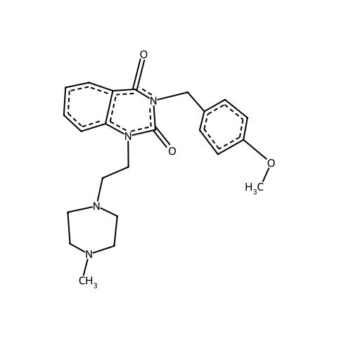 COc1ccc(Cn2c(=O)c3ccccc3n(CCN3CCN(C)CC3)c2=O)cc1